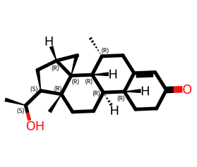 C[C@H](O)[C@H]1C[C@@H]2C[C@]23[C@H]2[C@H](CC[C@]13C)[C@H]1CCC(=O)C=C1C[C@H]2C